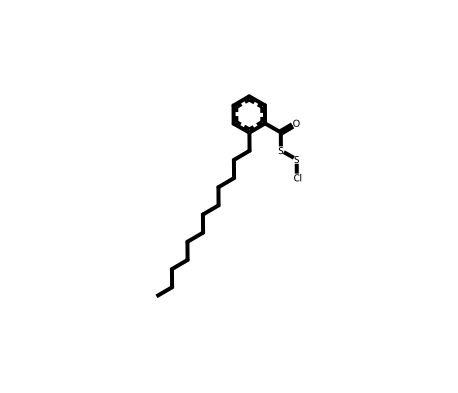 CCCCCCCCCCCCc1ccccc1C(=O)SSCl